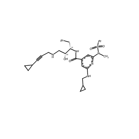 CC(C)C[C@H](NC(=O)c1cc(NCC2CC2)nc(N(C)S(=O)(=O)C(C)C)c1)[C@H](O)CNCC#CC1CC1